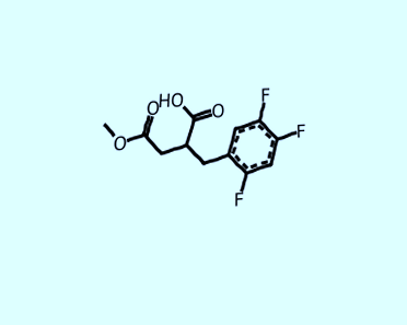 COC(=O)CC(Cc1cc(F)c(F)cc1F)C(=O)O